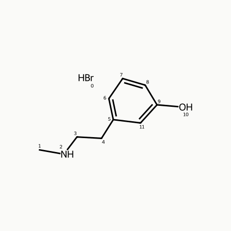 Br.CNCCc1cccc(O)c1